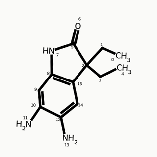 CCC1(CC)C(=O)Nc2cc(N)c(N)cc21